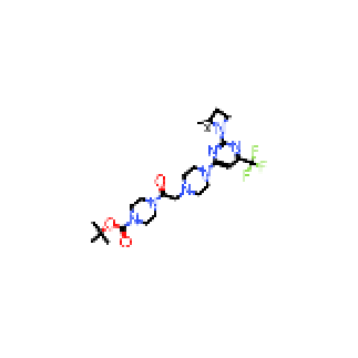 C[C@H]1CCN1c1nc(N2CCN(CC(=O)N3CCN(C(=O)OC(C)(C)C)CC3)CC2)cc(C(F)(F)F)n1